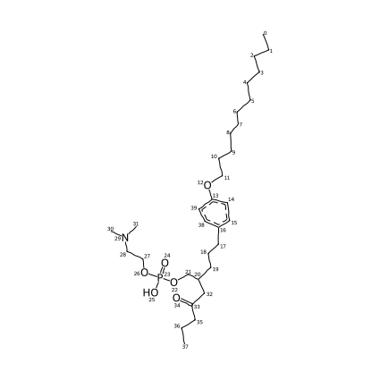 CCCCCCCCCCCCOc1ccc(CCCC(COP(=O)(O)OCCN(C)C)CC(=O)CCC)cc1